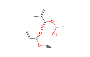 C=C(C)C(=O)OC(C)O.C=CC(=O)OC(C)(C)C